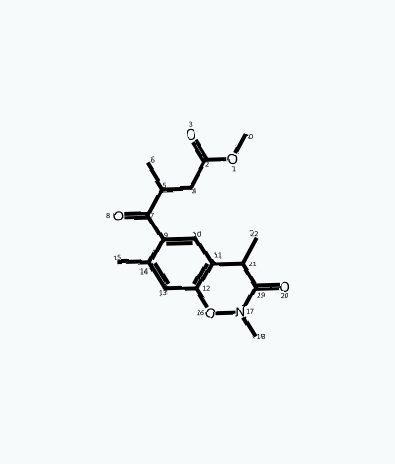 COC(=O)CC(C)C(=O)c1cc2c(cc1C)ON(C)C(=O)C2C